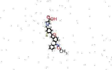 CCON=C(c1ccccc1)c1ccc2oc(-c3ccc(CN4CC(C(=O)O)C4)cc3F)cc2c1